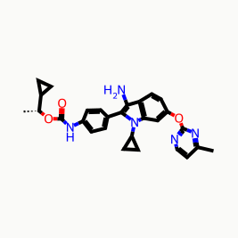 Cc1ccnc(Oc2ccc3c(N)c(-c4ccc(NC(=O)O[C@H](C)C5CC5)cc4)n(C4CC4)c3c2)n1